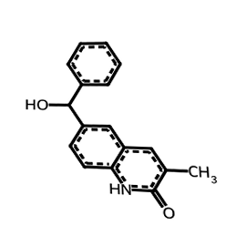 Cc1cc2cc(C(O)c3ccccc3)ccc2[nH]c1=O